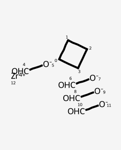 C1CCC1.O=C[O-].O=C[O-].O=C[O-].O=C[O-].[Zr+4]